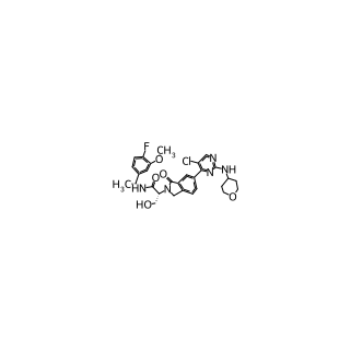 COc1cc([C@@H](C)NC(=O)[C@@H](CO)N2Cc3ccc(-c4nc(NC5CCOCC5)ncc4Cl)cc3C2=O)ccc1F